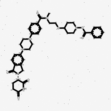 CN(CCOC1CCN(OC(=O)c2ccccc2)CC1)C(=O)c1ccc(N2CCN(c3ccc4c(c3)CN([C@H]3CCC(=O)NC3=O)C4=O)CC2)cc1